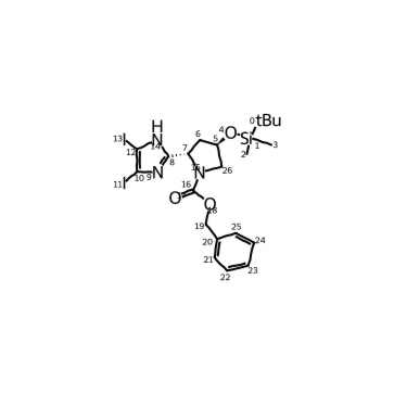 CC(C)(C)[Si](C)(C)O[C@@H]1C[C@@H](c2nc(I)c(I)[nH]2)N(C(=O)OCc2ccccc2)C1